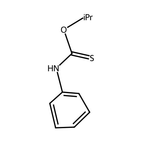 CC(C)OC(=S)Nc1ccccc1